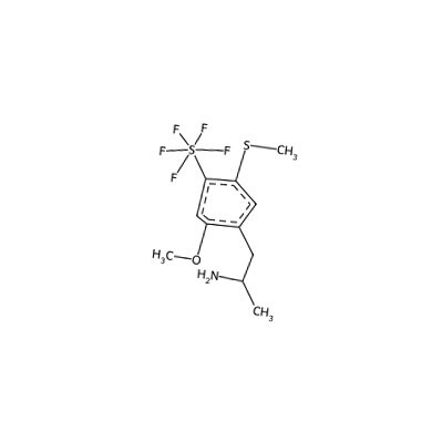 COc1cc(S(F)(F)(F)(F)F)c(SC)cc1CC(C)N